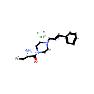 CC(C)C[C@H](N)C(=O)N1CCN(C/C=C/c2ccccc2)CC1.Cl.Cl